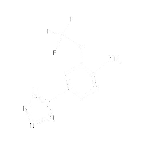 Nc1ccc(-c2nnn[nH]2)cc1OC(F)(F)F